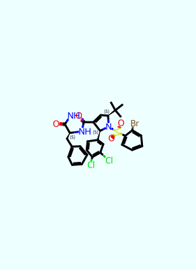 CC(C)(C)[C@@H]1C=C(C(=O)N[C@@H](Cc2ccccc2)C(N)=O)[C@H](c2ccc(Cl)c(Cl)c2)N1S(=O)(=O)c1ccccc1Br